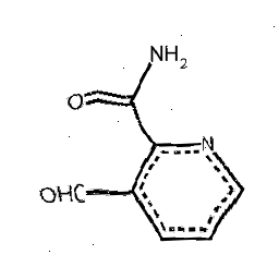 NC(=O)c1ncccc1C=O